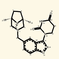 CN1[C@@H]2CC[C@H]1CN(Cc1ccc3onc(N4CCC(=O)NC4=O)c3c1)C2